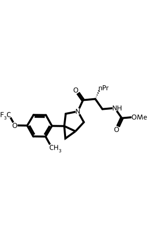 CCC[C@H](CNC(=O)OC)C(=O)N1CC2CC2(c2ccc(OC(F)(F)F)cc2C)C1